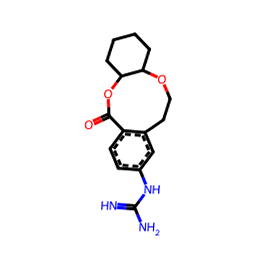 N=C(N)Nc1ccc2c(c1)CCOC1CCCCC1OC2=O